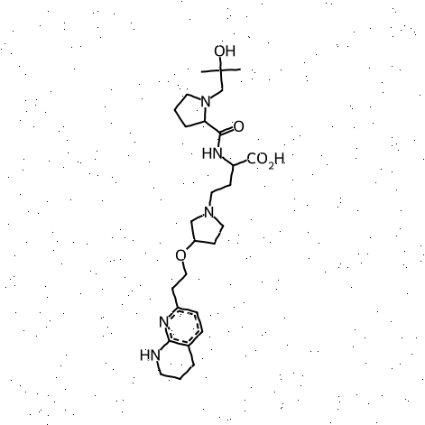 CC(C)(O)CN1CCCC1C(=O)NC(CCN1CCC(OCCc2ccc3c(n2)NCCC3)C1)C(=O)O